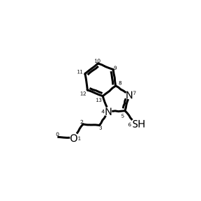 COCCn1c(S)nc2ccccc21